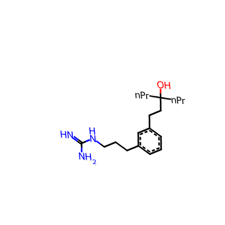 CCCC(O)(CCC)CCc1cccc(CCCNC(=N)N)c1